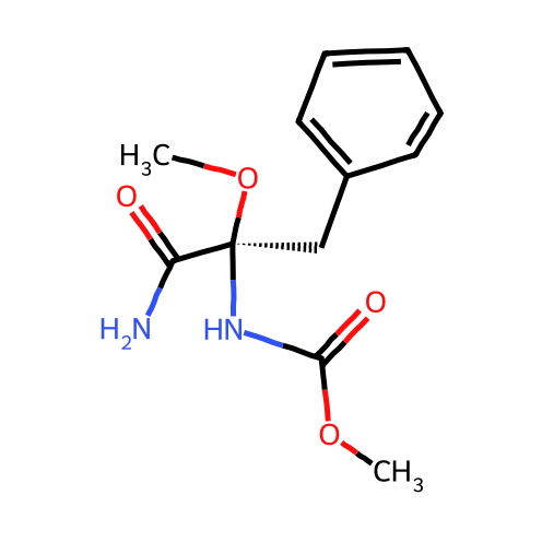 COC(=O)N[C@](Cc1ccccc1)(OC)C(N)=O